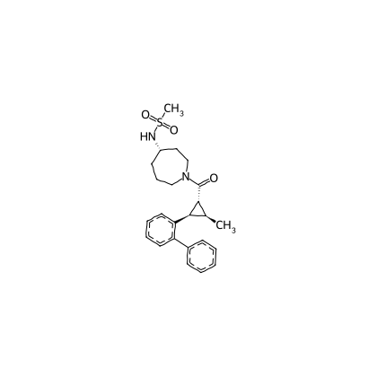 C[C@@H]1[C@@H](C(=O)N2CCC[C@H](NS(C)(=O)=O)CC2)[C@@H]1c1ccccc1-c1ccccc1